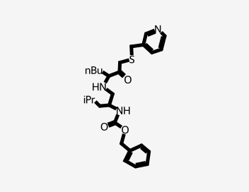 CCCCC(NCC(CC(C)C)NC(=O)OCc1ccccc1)C(=O)CSCc1cccnc1